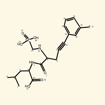 CC(C)CC(NC(=O)C(CC#Cc1cccc(F)c1)NCP(=O)(O)O)C(=O)O